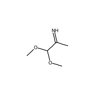 COC(OC)C(C)=N